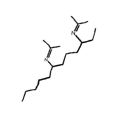 CCCCCC(CCCC(CC)N=C(C)C)N=C(C)C